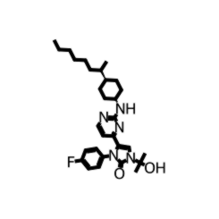 CCCCCCC(C)[C@H]1CC[C@H](Nc2nccc(-c3cn(C(C)(C)O)c(=O)n3-c3ccc(F)cc3)n2)CC1